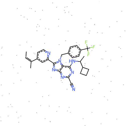 C/C=C(/C)c1ccnc(-c2nc3nc(C#N)nc(NC(C)C4CCC4)c3n2Cc2ccc(C(F)(F)F)cc2)c1